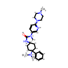 CN1CCN(c2ccc(N3C[C@]4(CC[C@](c5ccccc5)(N(C)C)CC4)NC3=O)cn2)CC1